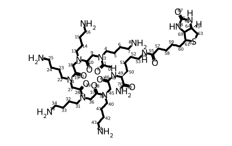 CC(=O)N(CCCCN)CC(=O)N(CCCCN)CC(=O)N(CCCCN)CC(=O)N(CCCCN)CC(=O)N(CCCCN)CC(=O)N[C@@H](CCCCNC(=O)CCCCC1SC[C@@H]2NC(=O)NC12)C(N)=O